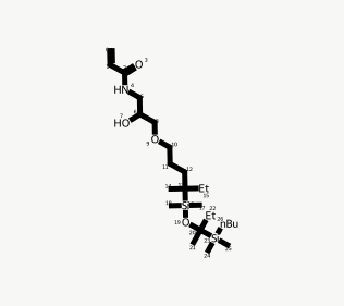 C=CC(=O)NCC(O)COCCCC(C)(CC)[Si](C)(C)OC(C)(CC)[Si](C)(C)CCCC